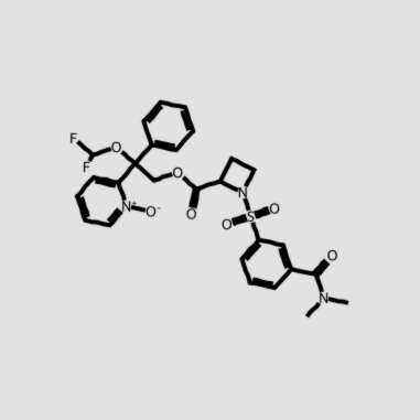 CN(C)C(=O)c1cccc(S(=O)(=O)N2CCC2C(=O)OCC(OC(F)F)(c2ccccc2)c2cccc[n+]2[O-])c1